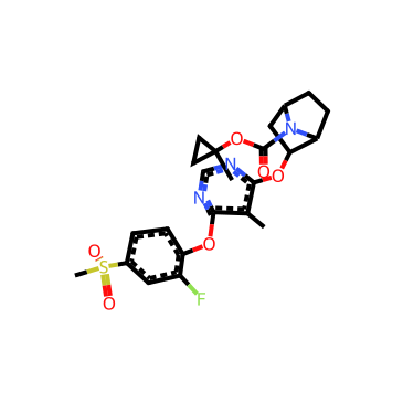 Cc1c(Oc2ccc(S(C)(=O)=O)cc2F)ncnc1OC1CC2CCC1N2C(=O)OC1(C)CC1